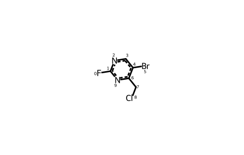 Fc1ncc(Br)c(CCl)n1